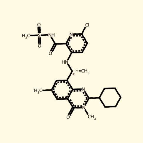 Cc1cc([C@@H](C)Nc2ccc(Cl)nc2C(=O)NS(C)(=O)=O)c2nc(C3CCCCC3)n(C)c(=O)c2c1